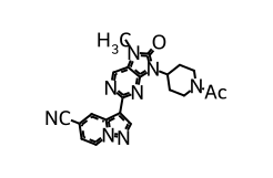 CC(=O)N1CCC(n2c(=O)n(C)c3cnc(-c4cnn5ccc(C#N)cc45)nc32)CC1